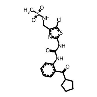 CS(=O)(=O)NCc1nc(NC(=O)Nc2ccccc2C(=O)C2CCCC2)sc1Cl